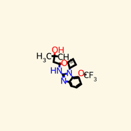 CC(C)(O)CC(=O)Nc1nc2cccc(OC(F)(F)F)c2n1C1CCC1